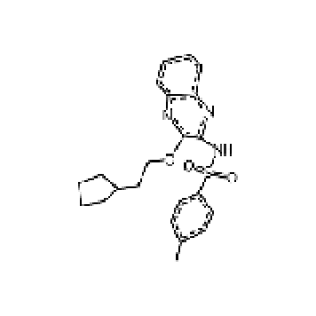 Cc1ccc(S(=O)(=O)Nc2nc3ccccc3nc2OCCC2CCCC2)cc1